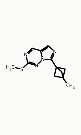 CSc1ncc2cnc(C34CC(C)(C3)C4)n2n1